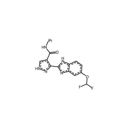 CC(C)NC(=O)c1c[nH]nc1-c1nc2cc(OC(F)F)ccc2[nH]1